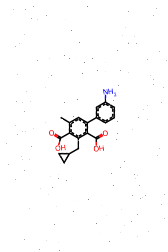 Cc1cc(-c2cccc(N)c2)c(C(=O)O)c(CC2CC2)c1C(=O)O